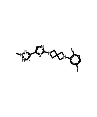 Cn1nnc(-c2cnc(N3CC4(C3)CN(c3cc(F)ccc3Cl)C4)s2)n1